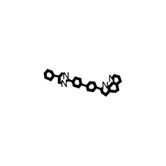 c1ccc(-c2cnc(-c3ccc(-c4ccc(-c5ccc6ccc7cccnc7c6n5)cc4)cc3)nc2)cc1